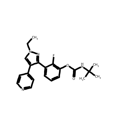 CCn1cc(-c2ccncc2)c(-c2cccc(OC(=O)NC(C)(C)C)c2F)n1